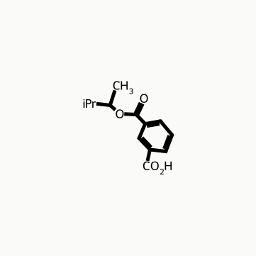 CC(C)C(C)OC(=O)c1cccc(C(=O)O)c1